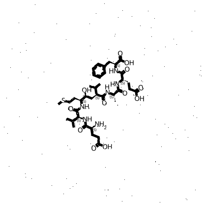 CSCC[C@H](NC(=O)[C@@H](NC(=O)[C@@H](N)CCC(=O)O)C(C)C)[C@@H](O)C[C@H](C(=O)N[C@@H](C)C(=O)N[C@@H](CCC(=O)O)C(=O)N[C@@H](Cc1ccccc1)C(=O)O)C(C)C